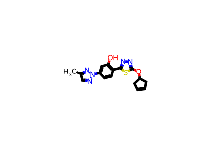 Cc1cnn(-c2ccc(-c3nnc(OC4CC=CC4)s3)c(O)c2)n1